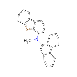 CN(c1cc2ccccc2c2ccccc12)c1cccc2c1sc1ccccc12